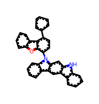 c1ccc(-c2ccc(-n3c4ccccc4c4cc5c(cc43)[nH]c3ccccc35)c3oc4ccccc4c23)cc1